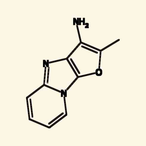 Cc1oc2c(nc3ccccn32)c1N